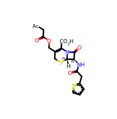 CC(=O)CC(=O)OCC1=C(C(=O)O)N2C(=O)[C@@H](NC(=O)Cc3cccs3)[C@@H]2SC1